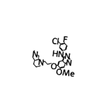 COc1cc2ncnc(Nc3ccc(F)c(Cl)c3)c2cc1OCCCN1CCCC2CN(C)CC21